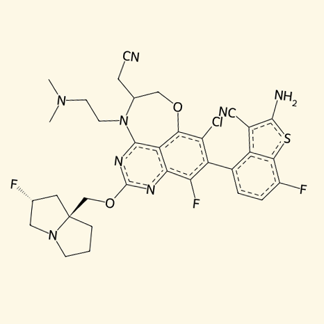 CN(C)CCN1c2nc(OC[C@@]34CCCN3C[C@H](F)C4)nc3c(F)c(-c4ccc(F)c5sc(N)c(C#N)c45)c(Cl)c(c23)OCC1CC#N